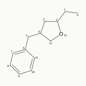 CCC1CC(Cc2ccccc2)CO1